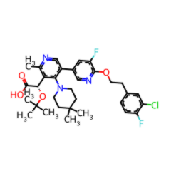 Cc1ncc(-c2cnc(OCCc3ccc(F)c(Cl)c3)c(F)c2)c(N2CCC(C)(C)CC2)c1[C@H](OC(C)(C)C)C(=O)O